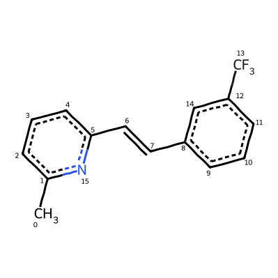 Cc1cccc(C=Cc2cccc(C(F)(F)F)c2)n1